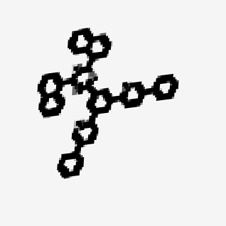 c1ccc(-c2ccc(-c3cc(-c4ccc(-c5ccccc5)cn4)cc(-c4nc(-c5cccc6ccccc56)nc(-c5cccc6ccccc56)n4)c3)nc2)cc1